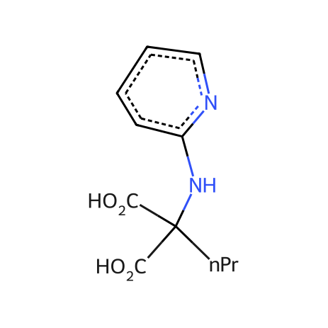 CCCC(Nc1ccccn1)(C(=O)O)C(=O)O